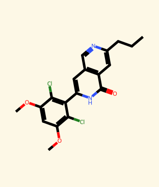 CCCc1cc2c(=O)[nH]c(-c3c(Cl)c(OC)cc(OC)c3Cl)cc2cn1